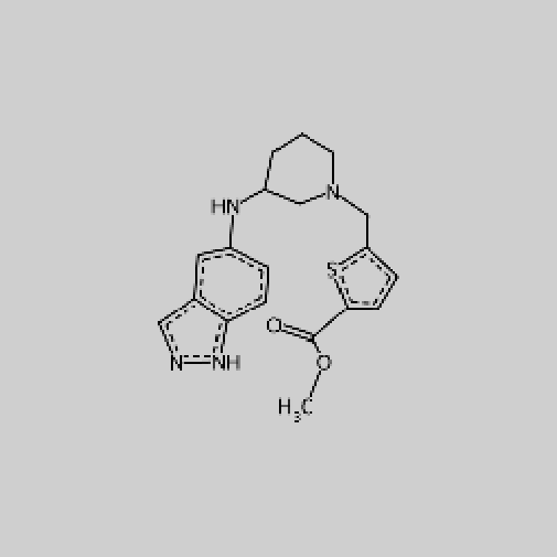 COC(=O)c1ccc(CN2CCCC(Nc3ccc4[nH]ncc4c3)C2)s1